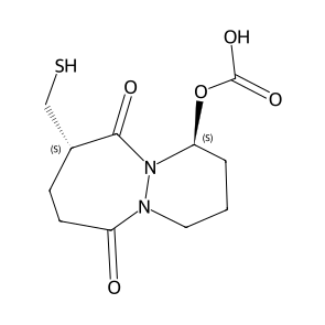 O=C(O)O[C@H]1CCCN2C(=O)CC[C@H](CS)C(=O)N12